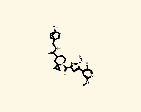 COc1cc(-c2cc(C(=O)N3CCC(C(=O)NCC45CCC(O)(CC4)C5)CC34CC4)nn2SF)c(F)cn1